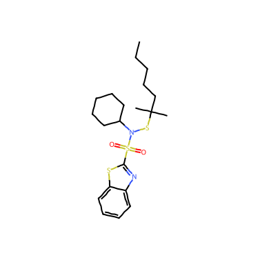 CCCCCC(C)(C)SN(C1CCCCC1)S(=O)(=O)c1nc2ccccc2s1